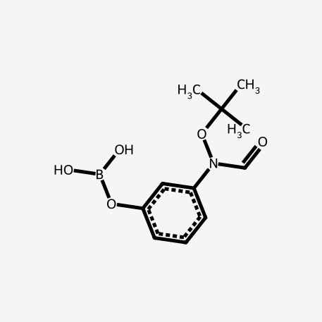 CC(C)(C)ON(C=O)c1cccc(OB(O)O)c1